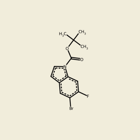 CC(C)(C)OC(=O)n1ccc2cc(Br)c(F)cc21